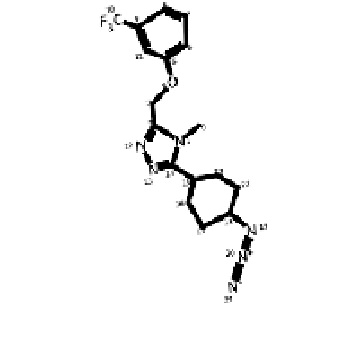 Cn1c(COc2cccc(C(F)(F)F)c2)nnc1C1CCC(N=[N+]=[N-])CC1